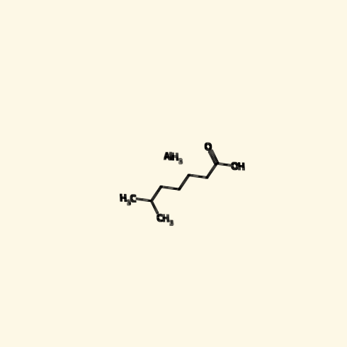 CC(C)CCCCC(=O)O.[AlH3]